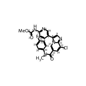 COC(=O)Nc1ccc(-c2cnc3c(Cl)cc(C(=O)N(C)c4ccc(F)cc4)cn23)cn1